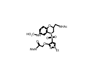 CCn1cc(S(=O)(=O)N2CC(CNC(C)=O)Oc3ccc(NC(=O)O)cc32)c(OCC(=O)NC)n1